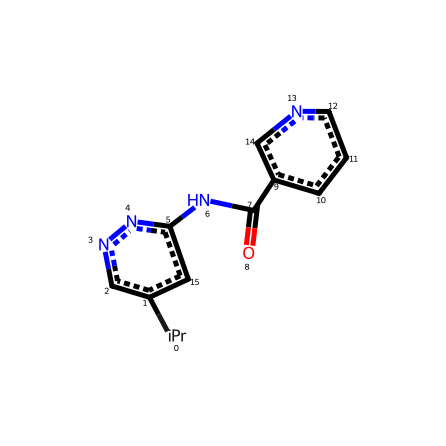 CC(C)c1cnnc(NC(=O)c2cccnc2)c1